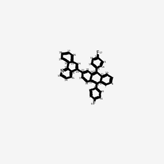 Fc1ccc(-c2c3ccccc3c(-c3ccc(F)cc3)c3cc(-c4cc5ccccc5c5ncccc45)ccc23)cc1